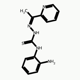 CC(=NNC(=S)Nc1ccccc1N)c1ccccn1